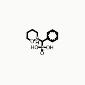 O=P(O)(O)C(c1ccccc1)[SiH]1CCCCO1